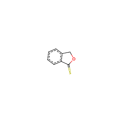 S=C1OCc2ccccc21